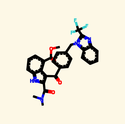 COC(=O)c1cccc2[nH]c(C(=O)N(C)C)c(C(=O)c3ccc(Cn4c(C(F)(F)F)nc5ccccc54)cc3)c12